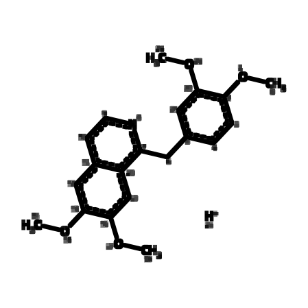 COc1ccc(Cc2nccc3cc(OC)c(OC)cc23)cc1OC.[H+]